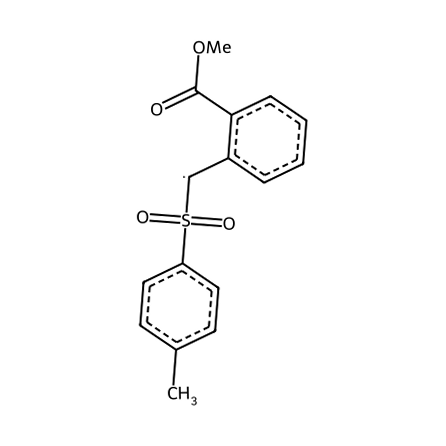 COC(=O)c1ccccc1[CH]S(=O)(=O)c1ccc(C)cc1